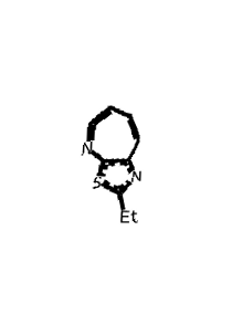 CCc1nc2c(s1)N=C=CC=C2